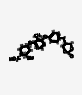 Cc1c(Oc2ccc(CC3COS(=O)OC3)nc2)ncnc1O[C@H]1CCN(C(=O)O)[C@H](C(C)(C)C)C1